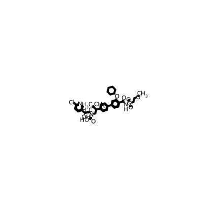 COCCS(=O)(=O)NC(=O)c1ccc(-c2ccc(C(CN(C[C@H](O)c3ccc(Cl)nc3)C(=O)O)C(C)(C)C)cc2)cc1OC1CCCCC1